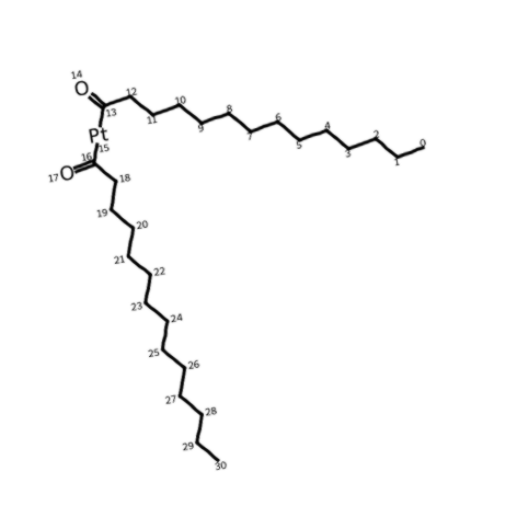 CCCCCCCCCCCCC[C](=O)[Pt][C](=O)CCCCCCCCCCCCC